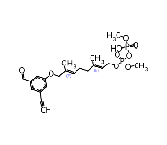 C#Cc1cc(C=O)cc(OC/C(C)=C/CC/C(C)=C/COP(=O)(OC)OP(=O)(O)OC)c1